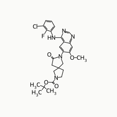 COc1cc2ncnc(Nc3cccc(Cl)c3F)c2cc1N1CC2(CCN(C(=O)OC(C)(C)C)C2)CC1=O